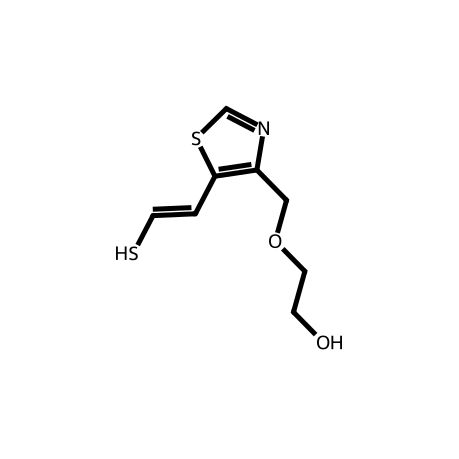 OCCOCc1ncsc1C=CS